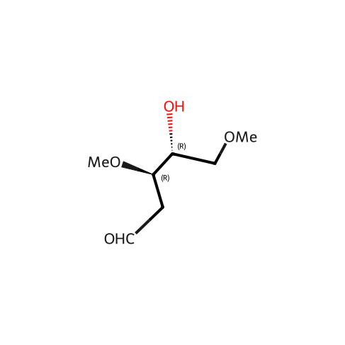 COC[C@@H](O)[C@@H](CC=O)OC